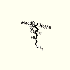 COO[Si](CCCNCCN)(OOC)OOC